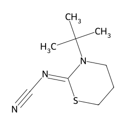 CC(C)(C)N1CCCS/C1=N\C#N